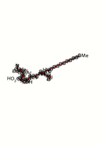 CC[C@H](C)[C@H](NC(=O)C(C)(C)N(C)C)C(=O)N(C)[C@H](C[C@@H](OC(C)=O)c1nc(C(=O)N[C@H](CCC(=O)O)Cc2ccc(O)c(NC(=O)COC(=O)NCCNC(=O)CCCNC(=O)[C@H](CCCCNC(=O)COCCOCCOCCOCCOCCOCCOCCOCCOCCOC)NC(=O)CCCN3C(=O)C=CC3=O)c2)cs1)C(C)C